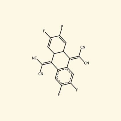 N#CC(C#N)=C1c2cc(F)c(F)cc2C(=C(C#N)C#N)C2C=C(F)C(F)=CC12